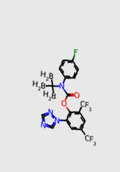 BC(B)(B)N(C(=O)Oc1c(-n2cncn2)cc(C(F)(F)F)cc1C(F)(F)F)c1ccc(F)cc1